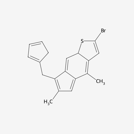 CC1=C(CC2=CC=CC2)C2=CC3SC(Br)=CC3=C(C)C2=C1